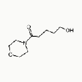 O=C(CCCCO)N1CCOCC1